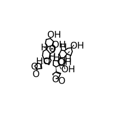 C[C@]12CC[C@H](O)C[C@H]1CC[C@@H]1[C@@H]2C[C@@H](O)[C@]2(C)[C@@H](C3=CC(=O)OC3)CC[C@]12O.C[C@]12CC[C@H]3[C@@H](CC[C@]4(O)C[C@@H](O)CC[C@]34C=O)[C@@]1(O)CC[C@@H]2C1=CC(=O)OC1